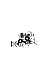 CC(C)(C)c1ccc(OP(=O)(OCl)Oc2ccc(C(C)(C)C)cc2C(C)(C)C)c(C(C)(C)C)c1